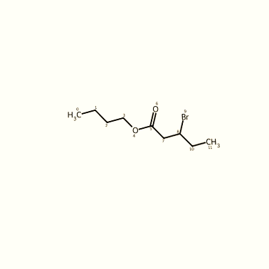 CCCCOC(=O)CC(Br)CC